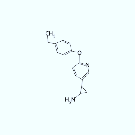 CCc1ccc(Oc2ccc(C3CC3N)cn2)cc1